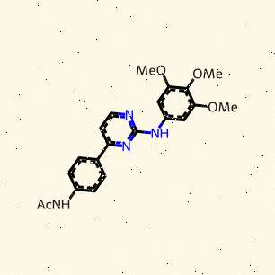 COc1cc(Nc2nccc(-c3ccc(NC(C)=O)cc3)n2)cc(OC)c1OC